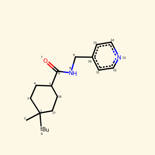 CC(C)(C)C1(C)CCC(C(=O)NCc2ccncc2)CC1